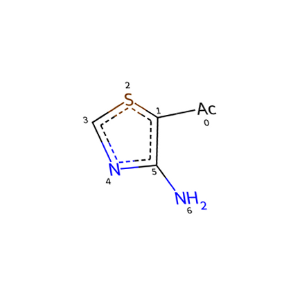 CC(=O)c1scnc1N